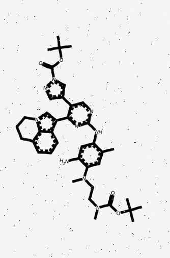 Cc1cc(N(C)CCN(C)C(=O)OC(C)(C)C)c(N)cc1Nc1ncc(-c2cnn(C(=O)OC(C)(C)C)c2)c(-c2cn3c4c(cccc24)CCC3)n1